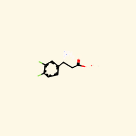 CC(C)(C)OC(=O)C[C@@H](N)c1ccc(F)c(F)c1